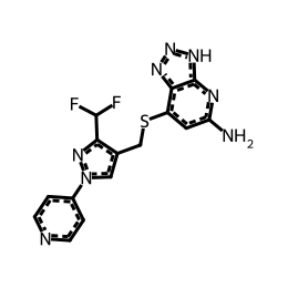 Nc1cc(SCc2cn(-c3ccncc3)nc2C(F)F)c2nn[nH]c2n1